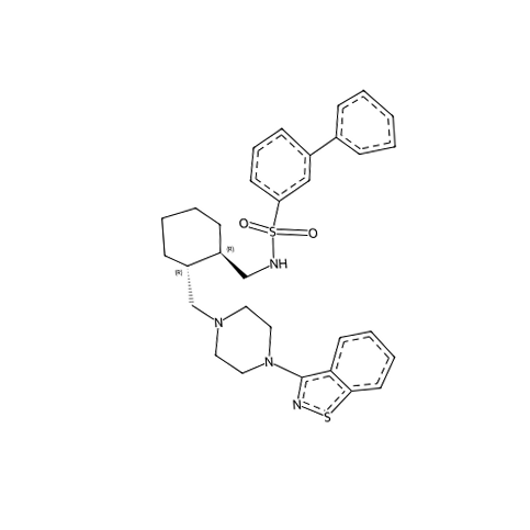 O=S(=O)(NC[C@@H]1CCCC[C@H]1CN1CCN(c2nsc3ccccc23)CC1)c1cccc(-c2ccccc2)c1